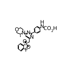 C[C@H]1COCCN1c1cc(CS(=O)(=O)c2ccccc2F)nc(-c2ccc(NC(=O)O)cc2)n1